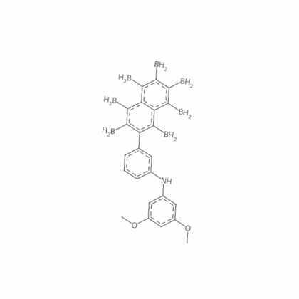 Bc1c(B)c(B)c2c(B)c(-c3cccc(Nc4cc(OC)cc(OC)c4)c3)c(B)c(B)c2c1B